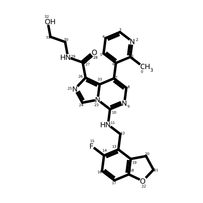 Cc1ncccc1-c1cnc(NCc2c(F)ccc3c2CCO3)n2cnc(C(=O)NCCO)c12